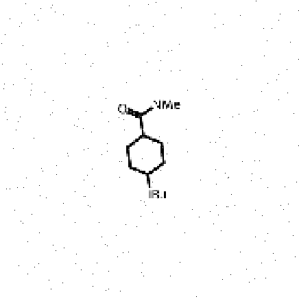 CCC(C)C1CCC(C(=O)NC)CC1